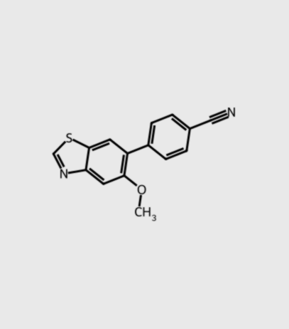 COc1cc2ncsc2cc1-c1ccc(C#N)cc1